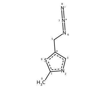 Cc1ncc(CN=[N+]=[N-])s1